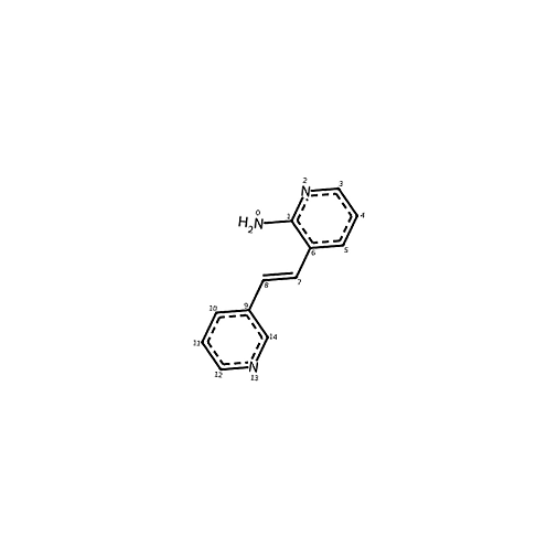 Nc1ncccc1C=Cc1cccnc1